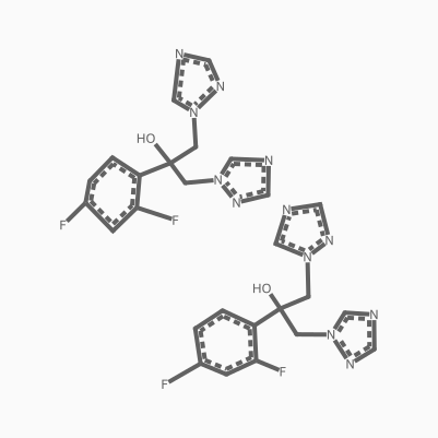 OC(Cn1cncn1)(Cn1cncn1)c1ccc(F)cc1F.OC(Cn1cncn1)(Cn1cncn1)c1ccc(F)cc1F